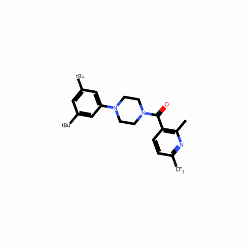 Cc1nc(C(F)(F)F)ccc1C(=O)N1CCN(c2cc(C(C)(C)C)cc(C(C)(C)C)c2)CC1